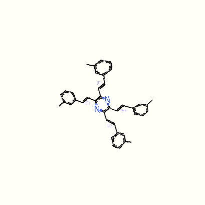 Cc1cccc(/C=C/c2nc(/C=C/c3cccc(C)c3)c(/C=C/c3cccc(C)c3)nc2/C=C/c2cccc(C)c2)c1